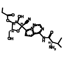 CCC(=O)O[C@H]1[C@@H](O)[C@](C#N)(c2ccc3c(NC(=O)[C@@H](N)C(C)C)ncnn23)O[C@@H]1CO